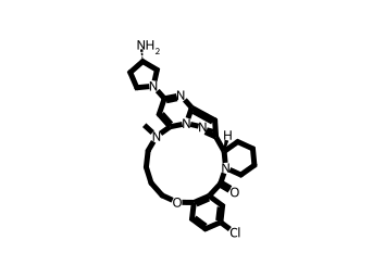 CN1CCCCOc2ccc(Cl)cc2C(=O)N2CCCC[C@H]2c2cc3nc(N4CC[C@H](N)C4)cc1n3n2